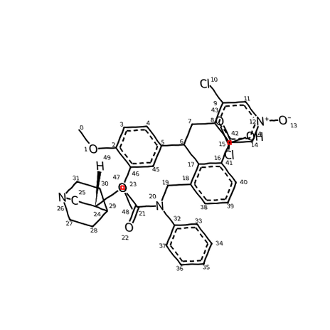 COc1ccc(C(Cc2c(Cl)c[n+]([O-])cc2Cl)c2c(CN(C(=O)O[C@H]3CN4CCC3CC4)c3ccccc3)cccc2C(=O)O)cc1OC